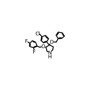 Fc1ccc(COC2CNCCC2(OCc2ccccc2)c2ccc(Cl)cc2)c(F)c1